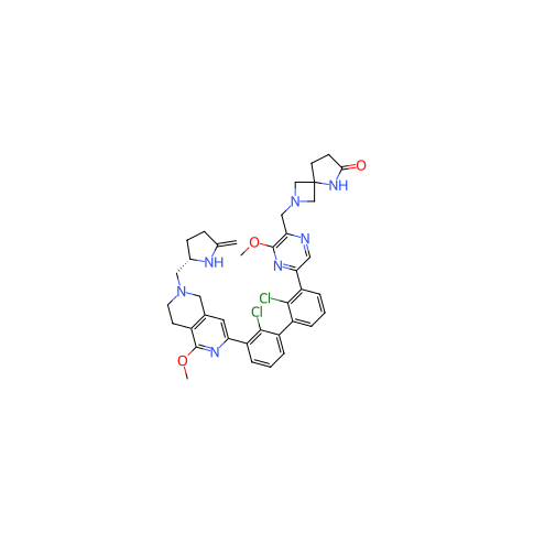 C=C1CC[C@@H](CN2CCc3c(cc(-c4cccc(-c5cccc(-c6cnc(CN7CC8(CCC(=O)N8)C7)c(OC)n6)c5Cl)c4Cl)nc3OC)C2)N1